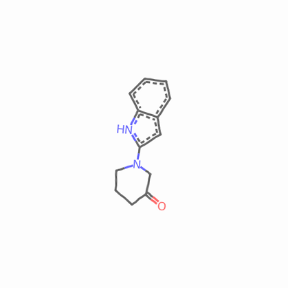 O=C1CCCN(c2cc3ccccc3[nH]2)C1